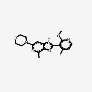 COc1nccc(I)c1-c1nc2c(C)nc(N3CCOCC3)cc2[nH]1